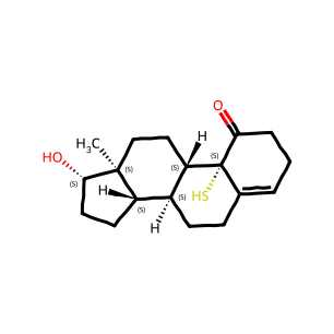 C[C@]12CC[C@H]3[C@@H](CCC4=CCCC(=O)[C@@]43S)[C@@H]1CC[C@@H]2O